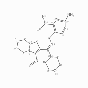 C=NC1=C(/C(=N\Cc2cnc(N)nc2C(F)F)N2CCOCC2)CC2COCCN12